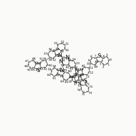 c1ccc2c(c1)sc1ccc(-c3ccc4c5ccccc5n(-c5ccc6nc(-n7c8ccccc8c8ccc(-c9ccc%10sc%11ccccc%11c%10c9)cc87)nc(-n7c8ccccc8c8ccc(-c9ccc%10sc%11ccccc%11c%10c9)cc87)c6c5)c4c3)cc12